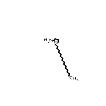 CCCCCCCCCCCCCCCCCCN1CCCC1N